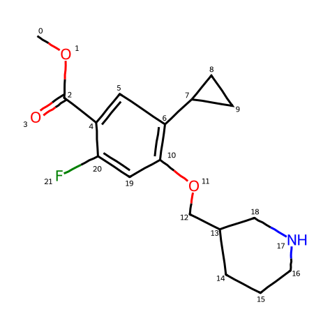 COC(=O)c1cc(C2CC2)c(OCC2CCCNC2)cc1F